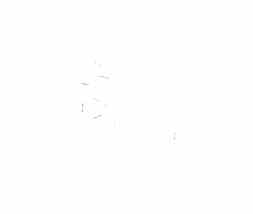 CNC(=O)c1csc2c(C(F)(F)F)cc(N3CCC(C4SCCN(C(=O)O)C4C)CC3)nc12